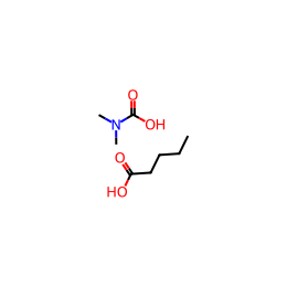 CCCCC(=O)O.CN(C)C(=O)O